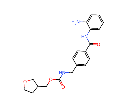 Nc1ccccc1NC(=O)c1ccc(CNC(=O)OCC2CCOC2)cc1